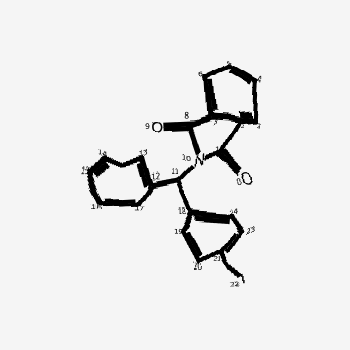 O=C1c2ccccc2C(=O)N1C(c1ccccc1)c1ccc(I)cc1